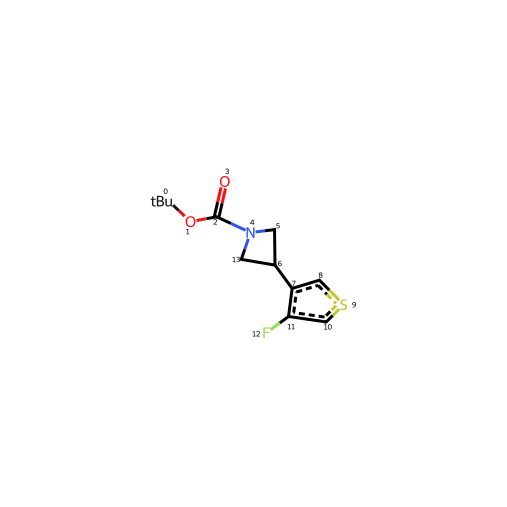 CC(C)(C)OC(=O)N1CC(c2cscc2F)C1